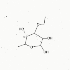 CCOC1C(O)C(O)OC(C)[C@@H]1O